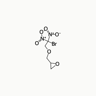 O=[N+]([O-])C(Br)(COCC1CO1)[N+](=O)[O-]